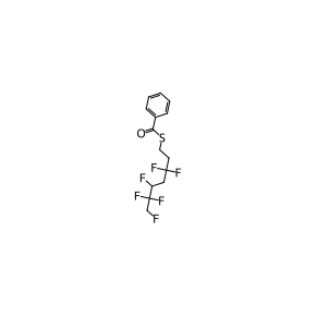 O=C(SCCC(F)(F)CC(F)C(F)(F)CF)c1ccccc1